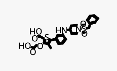 Cc1c(-c2cccc(NC3CCN(S(=O)(=O)Cc4ccccc4)CC3)c2)sc(C(=O)O)c1OCC(=O)O